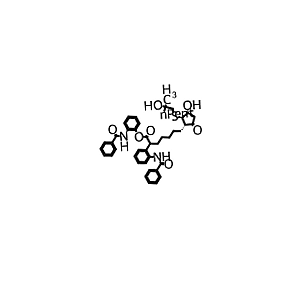 CCCCCC(C)(O)CS[C@H]1[C@H](O)CC(=O)[C@@H]1CCCCCC(C(=O)Oc1ccccc1NC(=O)c1ccccc1)c1ccccc1NC(=O)c1ccccc1